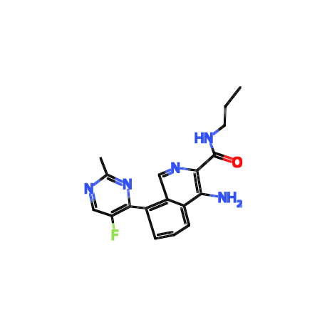 CCCNC(=O)c1ncc2c(-c3nc(C)ncc3F)cccc2c1N